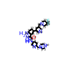 CN1CCN(Cc2ccc(NC(=O)C(=N)c3cc(-c4cncc(CN5CCC(F)(F)CC5)c4)ccc3N)cn2)CC1